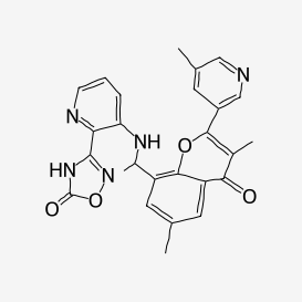 Cc1cncc(-c2oc3c(C(C)Nc4cccnc4-c4noc(=O)[nH]4)cc(C)cc3c(=O)c2C)c1